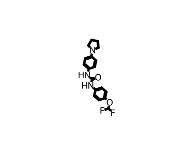 O=C(Nc1ccc(OC(F)F)cc1)Nc1ccc(N2CCCC2)cc1